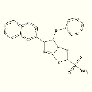 NS(=O)(=O)C1=NN2C(=NC(c3ccc4ccccc4c3)C2Sc2ccccc2)S1